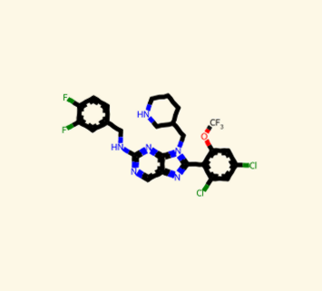 Fc1ccc(CNc2ncc3nc(-c4c(Cl)cc(Cl)cc4OC(F)(F)F)n(CC4CCCNC4)c3n2)cc1F